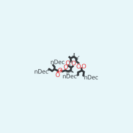 CCCCCCCCCCCCC(CCCCCCCCCCCC)C(=O)OCC1O[C@H](O[C@H]2OC(COC(=O)C(CCCCCCCCCCCC)CCCCCCCCCCCC)[C@@H](C)[C@H](C)C2C)C(C)[C@@H](C)[C@@H]1C